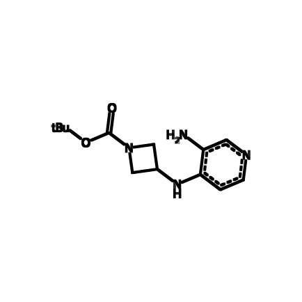 CC(C)(C)OC(=O)N1CC(Nc2ccncc2N)C1